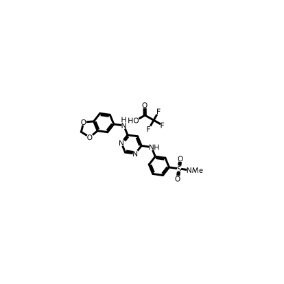 CNS(=O)(=O)c1cccc(Nc2cc(Nc3ccc4c(c3)OCO4)ncn2)c1.O=C(O)C(F)(F)F